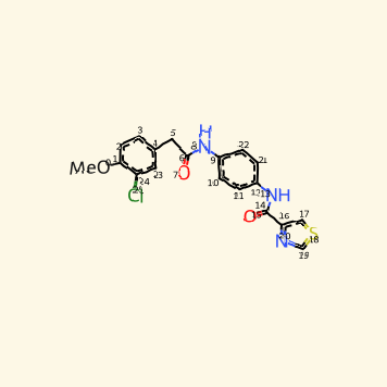 COc1ccc(CC(=O)Nc2ccc(NC(=O)c3cscn3)cc2)cc1Cl